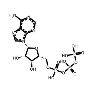 Nc1ncnc2c1ncn2[C@@H]1O[C@H](COP(=O)(O)OP(=O)(O)OP(=O)(O)O)[C@@H](O)[C@@H]1O